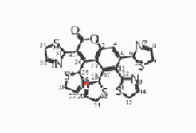 O=c1oc2cc(C3N=CCS3)c(C3N=CCS3)c(C3N=CCS3)c2c(C2N=CCS2)c1C1N=CCS1